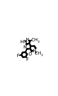 Cc1n[nH]c2nc(-c3cc(F)cc(F)c3)c3c(=O)n(C)ccc3c12